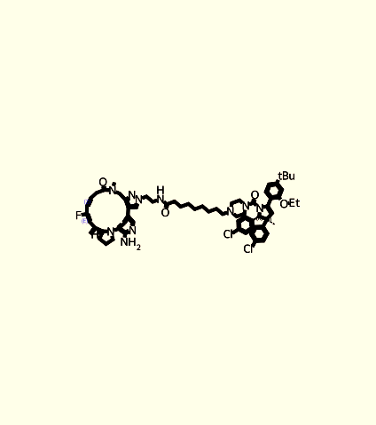 C=C1/C=C(F)\C=C/CC(=O)N(C)Cc2nn(CCNC(=O)CCCCCCCCN3CCN(C(=O)N4C(c5ccc(C(C)(C)C)cc5OCC)=C[C@@](C)(c5ccc(Cl)cc5)[C@H]4c4ccc(Cl)cc4)CC3)cc2-c2cnc(N)c(c2)N2CCC[C@H]12